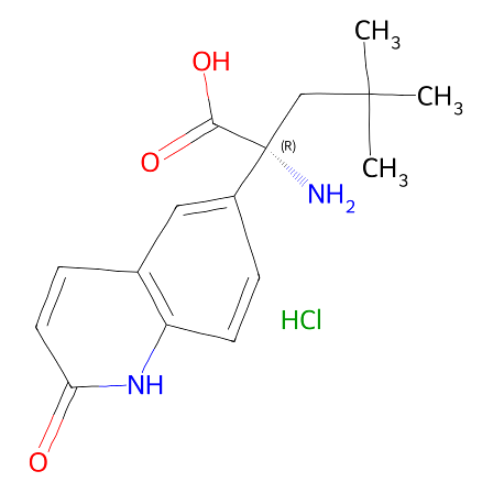 CC(C)(C)C[C@](N)(C(=O)O)c1ccc2[nH]c(=O)ccc2c1.Cl